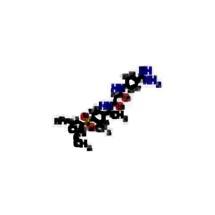 C=C=C/C=C(\C=C(/C)CCC)S(=O)(=O)c1ccc(C(C)NC(=O)CC(=O)Nc2ccc(C(=N)N)cc2)cc1C(F)(F)F